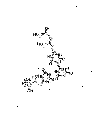 CC(S)C(=O)O.CC(S)C(=O)O.CC(S)C(=O)O.O=c1[nH]c(=O)[nH]c(=O)[nH]1.O=c1[nH]c(=O)[nH]c(=O)[nH]1.O=c1[nH]c(=O)[nH]c(=O)[nH]1.OCCO